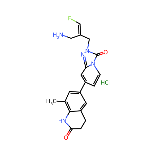 Cc1cc(-c2ccn3c(=O)n(C/C(=C/F)CN)nc3c2)cc2c1NC(=O)CC2.Cl